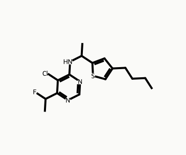 CCCCc1csc(C(C)Nc2ncnc(C(C)F)c2Cl)c1